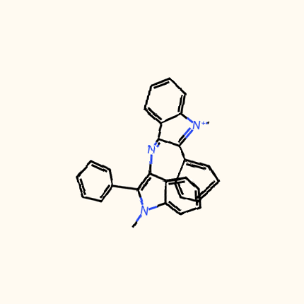 Cn1c(-c2ccccc2)c(/N=C2\C(c3ccccc3)=[N+](C)c3ccccc32)c2ccccc21